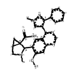 CCOc1cc2ncnc(-c3cn(C)nc3-c3ccccc3)c2cc1C1N(C)CC2CC21C(N)=O